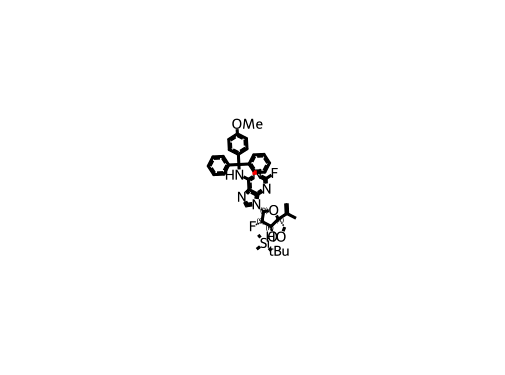 C=C(C)[C@]1(CO)O[C@@H](n2cnc3c(NC(c4ccccc4)(c4ccccc4)c4ccc(OC)cc4)nc(F)nc32)[C@@H](F)[C@@H]1O[Si](C)(C)C(C)(C)C